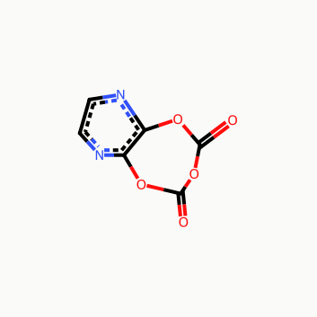 O=C1OC(=O)Oc2nccnc2O1